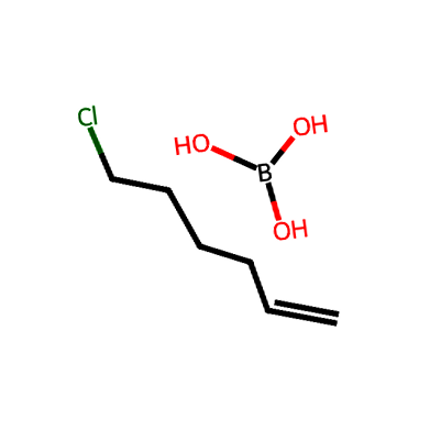 C=CCCCCCl.OB(O)O